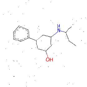 CCC(C)NC1CC(O)CC(c2ccccc2)C1